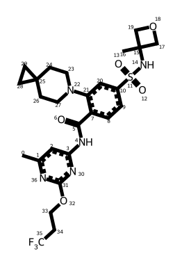 Cc1cc(NC(=O)c2ccc(S(=O)(=O)NC3(C)COC3)cc2N2CCC3(CC2)CC3)nc(OCCC(F)(F)F)n1